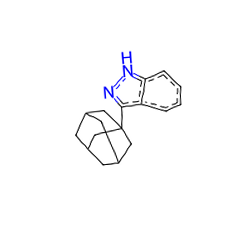 c1ccc2c(C34CC5CC(CC(C5)C3)C4)n[nH]c2c1